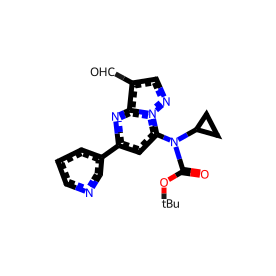 CC(C)(C)OC(=O)N(c1cc(-c2cccnc2)nc2c(C=O)cnn12)C1CC1